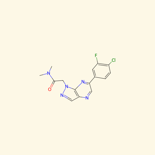 CN(C)C(=O)Cn1ncc2ncc(-c3ccc(Cl)c(F)c3)nc21